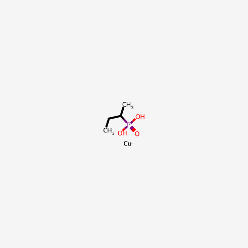 CCC(C)P(=O)(O)O.[Cu]